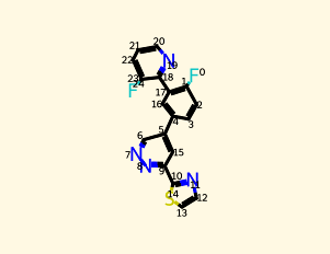 Fc1ccc(-c2cnnc(-c3nccs3)c2)cc1-c1ncccc1F